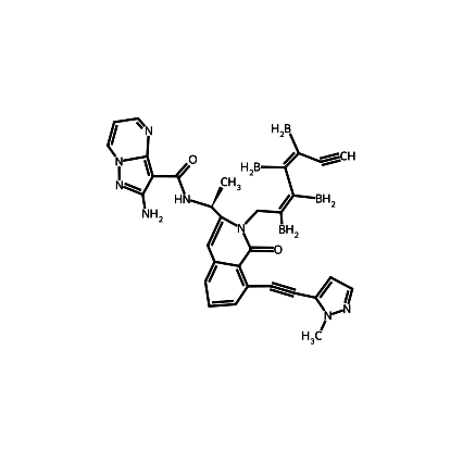 B/C(C#C)=C(B)/C(B)=C(/B)Cn1c([C@H](C)NC(=O)c2c(N)nn3cccnc23)cc2cccc(C#Cc3ccnn3C)c2c1=O